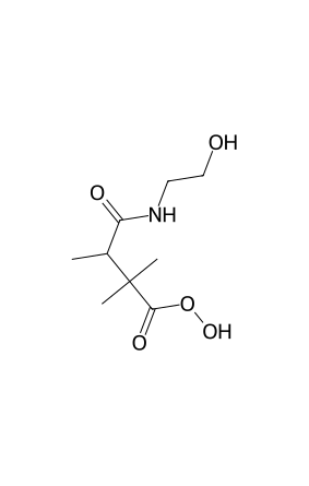 CC(C(=O)NCCO)C(C)(C)C(=O)OO